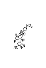 CN(CC(Nc1ccc(C#N)c2ncncc12)c1cccc(F)c1)S(=O)(=O)c1ccc([N+](=O)[O-])cc1